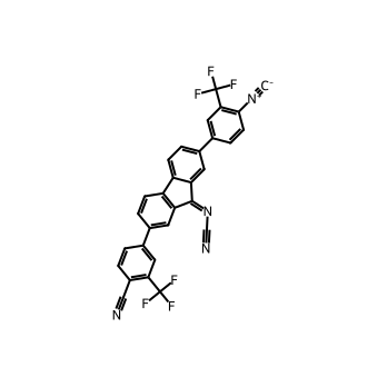 [C-]#[N+]c1ccc(-c2ccc3c(c2)/C(=N/C#N)c2cc(-c4ccc(C#N)c(C(F)(F)F)c4)ccc2-3)cc1C(F)(F)F